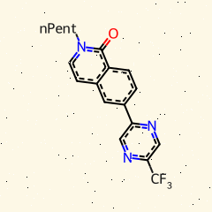 CCCCCn1ccc2cc(-c3cnc(C(F)(F)F)cn3)ccc2c1=O